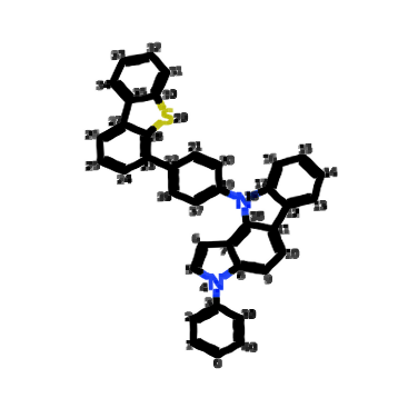 c1ccc(-n2ccc3c2ccc2c4ccccc4n(-c4ccc(-c5cccc6c5sc5ccccc56)cc4)c23)cc1